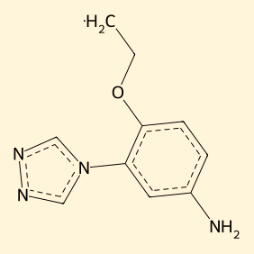 [CH2]COc1ccc(N)cc1-n1cnnc1